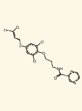 O=C(NCCCOc1c(Cl)cc(OCC=C(Cl)Cl)cc1Cl)c1cnccn1